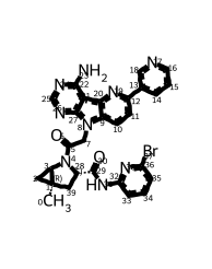 C[C@]12CC1N(C(=O)Cn1c3ccc(-c4cccnc4)nc3c3c(N)ncnc31)[C@H](C(=O)Nc1cccc(Br)n1)C2